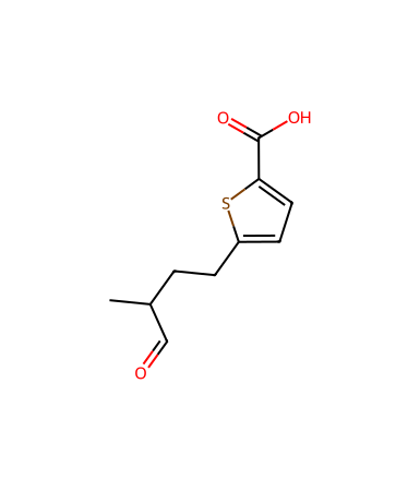 CC(C=O)CCc1ccc(C(=O)O)s1